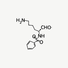 NCCCC[C@@H]([C]=O)NS(=O)(=O)c1ccccc1